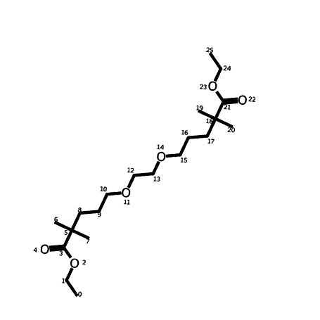 CCOC(=O)C(C)(C)CCCOCCOCCCC(C)(C)C(=O)OCC